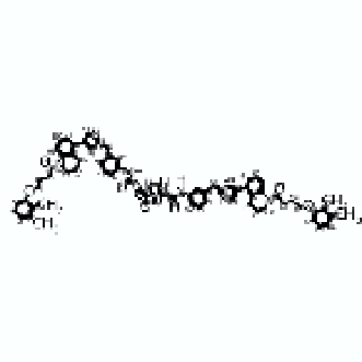 Cc1cccc(OCCCC(=O)N2CCCc3c(-c4cnn(Cc5cccc(NC(=O)NOP(C)(=O)ONC(=O)Nc6cccc(Cn7cc(-c8cccc9c8CCCN9C(=O)CCCOc8cccc(C)c8C)cn7)c6)c5)c4)cccc32)c1C